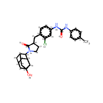 O=C(Nc1ccc(C(F)(F)F)cc1)Nc1ccc(CC2CCN(C3C4CC5CC3CC(O)(C5)C4)C2=O)c(Cl)c1